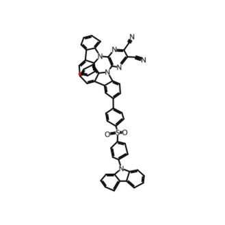 N#Cc1nc(-n2c3ccccc3c3ccccc32)c(-n2c3ccccc3c3cc(-c4ccc(S(=O)(=O)c5ccc(-n6c7ccccc7c7ccccc76)cc5)cc4)ccc32)nc1C#N